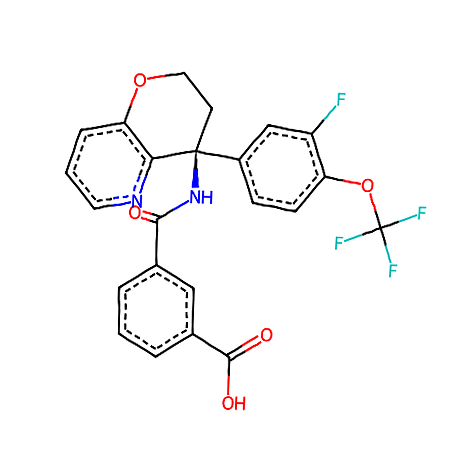 O=C(O)c1cccc(C(=O)N[C@]2(c3ccc(OC(F)(F)F)c(F)c3)CCOc3cccnc32)c1